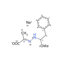 COC(Cc1ccccc1)NN=C(C)C(=O)[O-].[Na+]